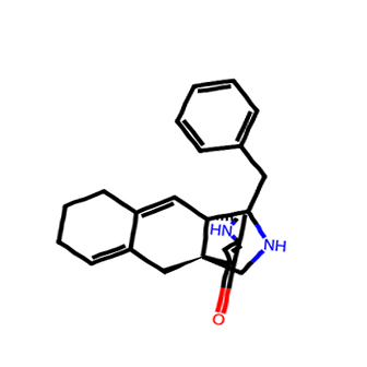 O=C1C=CNC[C@@]23C=C4CCCC=C4C[C@]12CNC3Cc1ccccc1